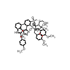 COc1ccc(CN(Cc2ccc(OC)cc2)S(=O)(=O)c2c(S(=O)(=O)C[C@H](CO)N(C(=O)O)C(C)(C)C)ccc(-c3cccc4[nH]c(N)nc34)c2-c2nnn(Cc3ccc(OC)cc3)n2)cc1